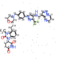 Cn1c(=O)n(C2CCC(=O)NC2=O)c2cccc(CC[C@H]3CN(Cc4ccc(-n5cc(NCc6cnn7cccnc67)c(C(F)F)n5)cc4)CCO3)c21